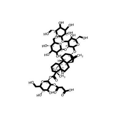 C=C1C[C@@]23CC[C@H]4[C@@](C)(CCC[C@@]4(C)C(=O)O[C@@H]4OC(CO)[C@@H](O)C(O)C4OC(=O)CC(=O)O)[C@@H]2CC[C@]1(OC1O[C@H](CO)C(O)C(OC2O[C@H](CO)C(O)C(O)[C@@H]2O)[C@H]1O[C@@H]1OC(CO)[C@@H](O)C(O)C1O)C3